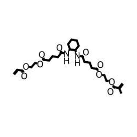 C=CC(=O)OCCOC(=O)CCCC(=O)NC1CCCCC1NC(=O)CCCC(=O)OCCOC(=O)C(=C)C